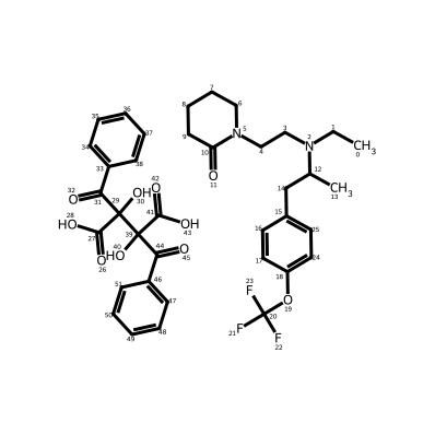 CCN(CCN1CCCCC1=O)C(C)Cc1ccc(OC(F)(F)F)cc1.O=C(O)C(O)(C(=O)c1ccccc1)C(O)(C(=O)O)C(=O)c1ccccc1